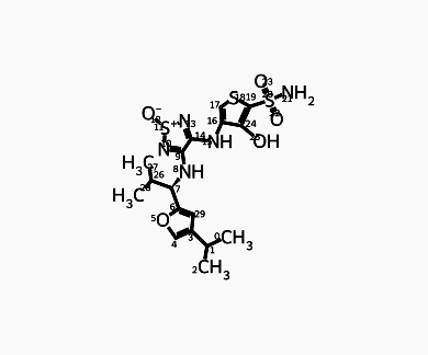 CC(C)c1coc([C@H](Nc2n[s+]([O-])nc2Nc2csc(S(N)(=O)=O)c2O)C(C)C)c1